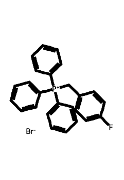 Fc1ccc(C[P+](c2ccccc2)(c2ccccc2)c2ccccc2)cc1.[Br-]